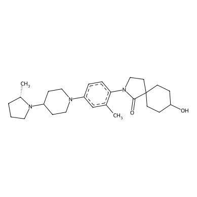 Cc1cc(N2CCC(N3CCC[C@@H]3C)CC2)ccc1N1CCC2(CCC(O)CC2)C1=O